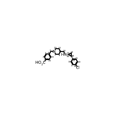 O=C(O)c1ccc(CN2CCC(CN[C@@H]3C[C@H]3c3ccc(Cl)cc3)CC2)cc1